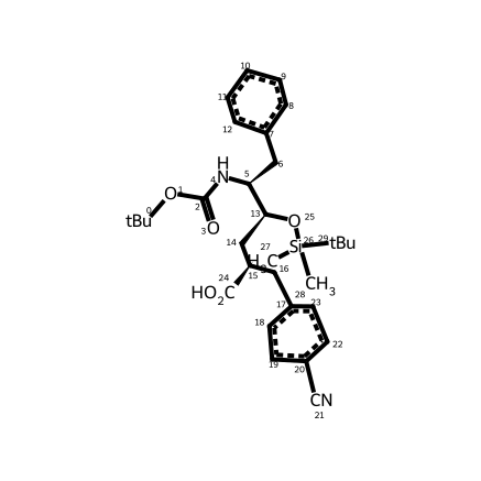 CC(C)(C)OC(=O)N[C@@H](Cc1ccccc1)[C@H](C[C@@H](Cc1ccc(C#N)cc1)C(=O)O)O[Si](C)(C)C(C)(C)C